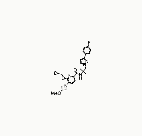 COC1CN(c2ccc(C(=O)NC(C)(C)Cn3ccc(-c4ccc(F)cc4)n3)nc2OCC2CC2)C1